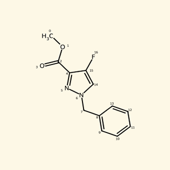 COC(=O)c1nn(Cc2ccccc2)cc1F